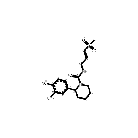 CS(=O)(=O)C=CCNC(=O)N1CCCCC1c1ccc(C#N)c(Cl)c1